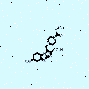 CC(C)(C)OC(=O)N1CCN(Cc2c(C(=O)O)nc3sc4c(n23)CCC(C(C)(C)C)C4)CC1